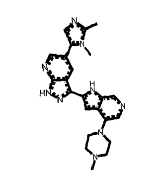 Cc1ncc(-c2cnc3[nH]nc(-c4cc5c(N6CCN(C)CC6)cncc5[nH]4)c3c2)n1C